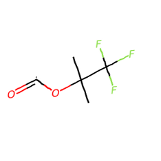 CC(C)(O[C]=O)C(F)(F)F